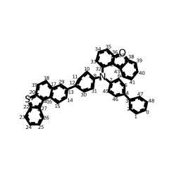 c1ccc(-c2ccc(N(c3ccc(-c4ccc5c(ccc6sc7ccccc7c65)c4)cc3)c3cccc4oc5ccccc5c34)cc2)cc1